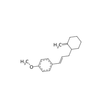 C=C1CCCCC1C/C=C/c1ccc(OC)cc1